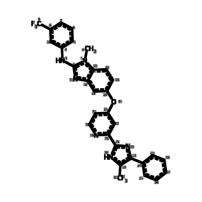 Cn1c(Nc2cccc(C(F)(F)F)c2)nc2cc(Oc3ccnc(-c4nc(-c5ccccc5)c(C(F)(F)F)[nH]4)c3)ccc21